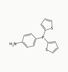 Nc1ccc(P(c2cccs2)c2cccs2)cc1